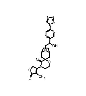 CC1=C(N2CCOC3(CC4CCC(C3)N4CC(O)c3cnc(-n4cnnn4)cn3)C2=O)COC1=O